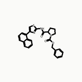 O=C(Nc1nc(-c2cccc3ccccc23)cs1)C1CCCN1C(=O)OCc1ccccc1